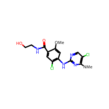 CNc1nc(Nc2cc(OC)c(C(=O)NCCO)cc2Cl)ncc1Cl